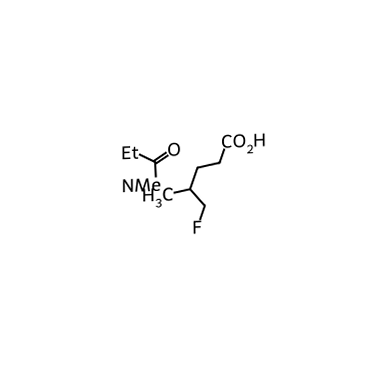 CC(CF)CCC(=O)O.CCC(=O)NC